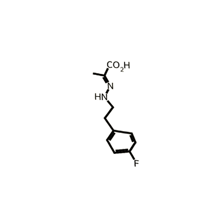 CC(=NNCCc1ccc(F)cc1)C(=O)O